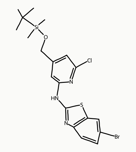 CC(C)(C)[Si](C)(C)OCc1cc(Cl)nc(Nc2nc3ccc(Br)cc3s2)c1